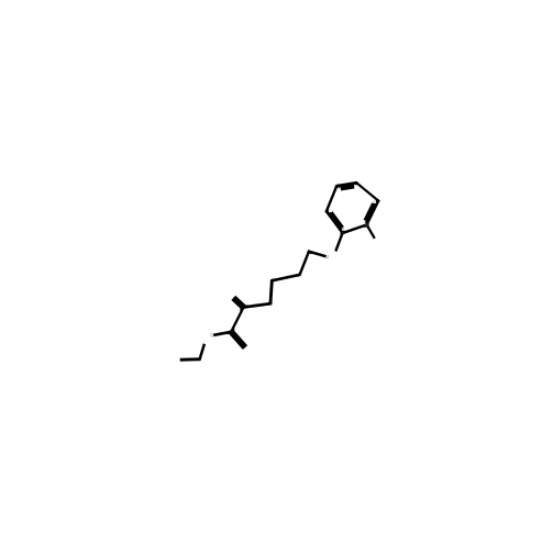 CCOC(=O)C(=O)CCCCOc1ccccc1C